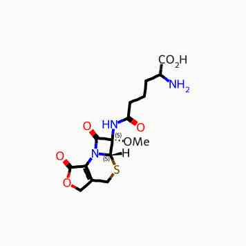 CO[C@@]1(NC(=O)CCCC(N)C(=O)O)C(=O)N2C3=C(COC3=O)CS[C@H]21